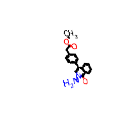 CCOC(=O)Cc1ccc(-c2cn(N)c(=O)c3ccccc23)cc1